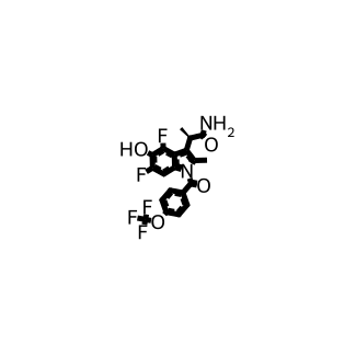 Cc1c([C@@H](C)C(N)=O)c2c(F)c(O)c(F)cc2n1C(=O)c1ccc(OC(F)(F)F)cc1